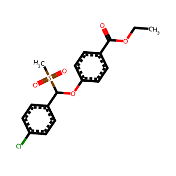 CCOC(=O)c1ccc(OC(c2ccc(Cl)cc2)S(C)(=O)=O)cc1